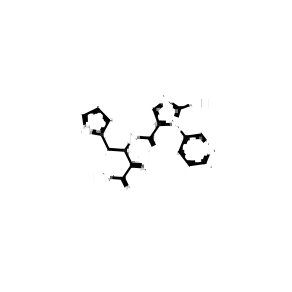 Cc1ncc(C(=O)NC(Cc2ccco2)C(=O)C(N)=O)n1-c1cccnc1